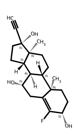 C#C[C@]1(O)CC[C@H]2[C@@H]3[C@@H](O)CC4=C(F)[C@@H](O)CC[C@]4(C)[C@H]3CC[C@@]21C